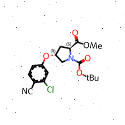 COC(=O)[C@@H]1C[C@@H](Oc2ccc(C#N)c(Cl)c2)CN1C(=O)OC(C)(C)C